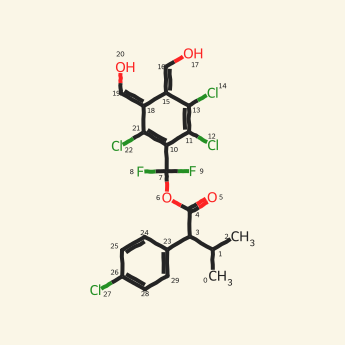 CC(C)C(C(=O)OC(F)(F)c1c(Cl)c(Cl)c(=CO)c(=CO)c1Cl)c1ccc(Cl)cc1